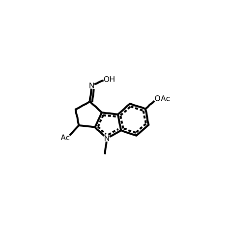 CC(=O)Oc1ccc2c(c1)c1c(n2C)C(C(C)=O)CC1=NO